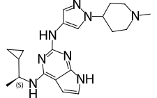 C[C@H](Nc1nc(Nc2cnn(C3CCN(C)CC3)c2)nc2[nH]ccc12)C1CC1